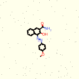 COc1ccc(/N=N/c2c(O)c(C(N)=O)cc3ccccc23)cc1